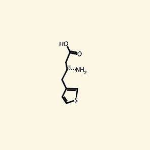 N[C@@H](CC(=O)O)Cc1ccsc1